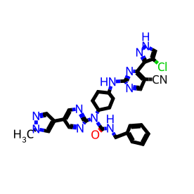 Cn1cc(-c2cnc(N(C(=O)NCc3ccccc3)C3CCC(Nc4ncc(C#N)c(-c5n[nH]cc5Cl)n4)CC3)nc2)cn1